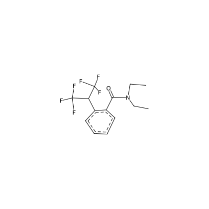 CCN(CC)C(=O)c1ccccc1C(C(F)(F)F)C(F)(F)F